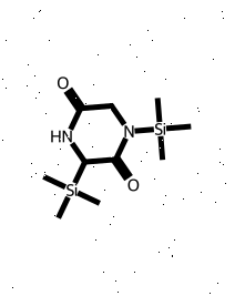 C[Si](C)(C)C1NC(=O)CN([Si](C)(C)C)C1=O